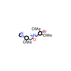 COc1cc(/C=N/N(C)C(=O)C(OC)c2ccc(-n3cccn3)cc2)cc(OC)c1Br